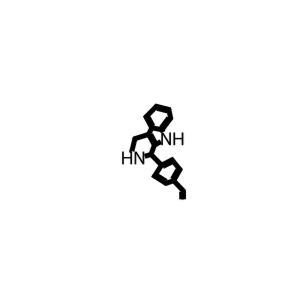 C=Cc1ccc(C2NCCc3c2[nH]c2ccccc32)cc1